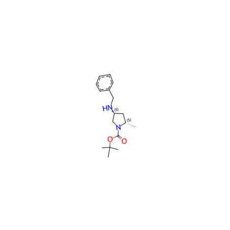 C[C@H]1C[C@H](NCc2ccccc2)CN1C(=O)OC(C)(C)C